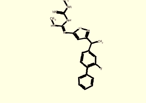 CNC(=N)NC(=Nc1cc(C(C)c2ccc(-c3ccccc3)c(F)c2)no1)NC